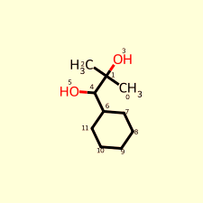 CC(C)(O)C(O)C1CCCCC1